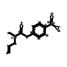 C=CCN(C)C(=O)Cc1ccc([N+](=O)[O-])cc1